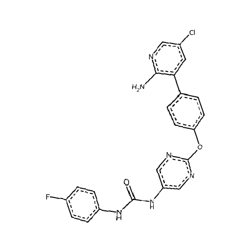 Nc1ncc(Cl)cc1-c1ccc(Oc2ncc(NC(=O)Nc3ccc(F)cc3)cn2)cc1